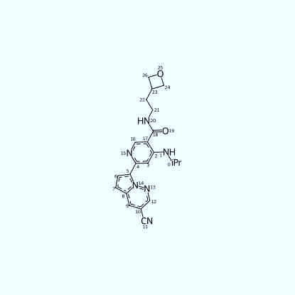 CC(C)Nc1cc(-c2ccc3cc(C#N)cnn23)ncc1C(=O)NCCC1COC1